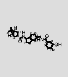 Cc1ccc(C(=O)NCc2ccc3c(c2)CCC3NC(=O)[C@@H]2C[C@@H]3[C@H](C2)C3(C)C)cc1O